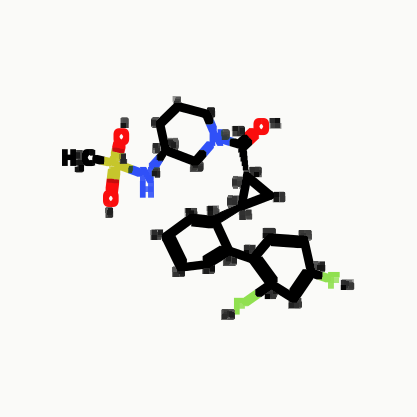 CS(=O)(=O)N[C@H]1CCCN(C(=O)[C@@H]2C[C@H]2c2ccccc2-c2ccc(F)cc2F)C1